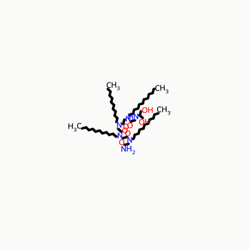 CCCCCCCCCCCCN(CC(N)=O)C(=O)CN(CCCCCCCCCCCC)C(=O)CN(CCCCCCCCCCCC)C(=O)CN(CCCCCCCCCCCC)C(=O)CNC(CO)CO